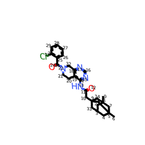 CC12CC3CC(C)(C1)CC(CC(=O)Nc1ncnc4c1CCN(C(=O)c1ccccc1Cl)C4)(C3)C2